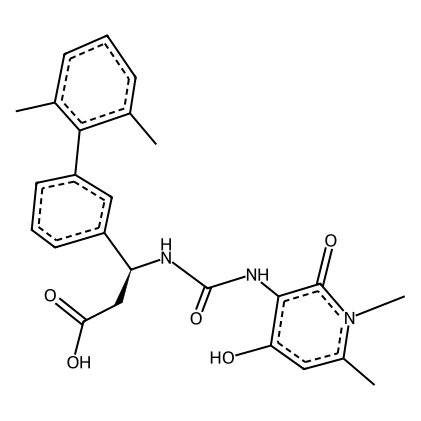 Cc1cccc(C)c1-c1cccc([C@H](CC(=O)O)NC(=O)Nc2c(O)cc(C)n(C)c2=O)c1